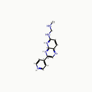 CCNCNc1ccc2ncc(-c3ccncc3)nc2n1